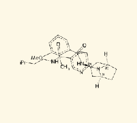 COc1cccc(C(=O)N[C@H]2C[C@H]3CC[C@@H](C2)N3c2ccc(C(=O)NCCC(C)C)cn2)c1C